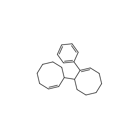 C1=C\C(C2CCCCC/C=C\2c2ccccc2)CCCCC/1